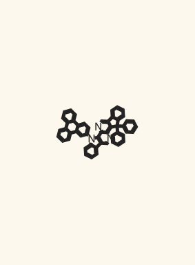 c1ccc(C2(c3ccccc3)c3ccccc3-c3cnc4c(ncc5c6ccccc6n(-c6ccc7c8ccccc8c8ccccc8c7c6)c54)c32)cc1